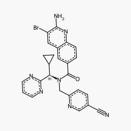 N#Cc1ccc(CN(C(=O)c2ccc3nc(N)c(Br)cc3c2)[C@@H](c2ncccn2)C2CC2)nc1